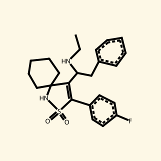 CCNC(Cc1ccccc1)C1=C(c2ccc(F)cc2)S(=O)(=O)NC12CCCCC2